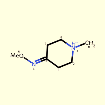 [CH2-][NH+]1CCC(=NOC)CC1